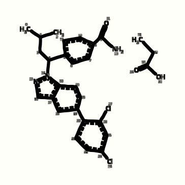 CC(C)CC(c1ccc(C(N)=O)cc1)n1ncc2cc(-c3ccc(Cl)cc3Cl)ccc21.CCC(=O)O